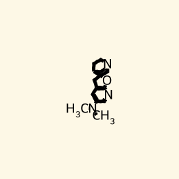 CN(C)c1cnc2c(c1)CC1(CN3CCC1CC3)O2